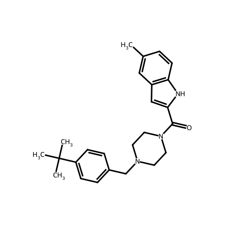 Cc1ccc2[nH]c(C(=O)N3CCN(Cc4ccc(C(C)(C)C)cc4)CC3)cc2c1